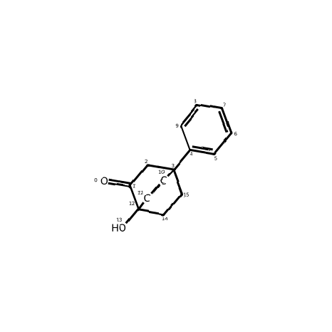 O=C1CC2(c3ccccc3)CCC1(O)CC2